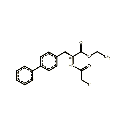 O=C(CCl)N[C@@H](Cc1ccc(-c2ccccc2)cc1)C(=O)OCC(F)(F)F